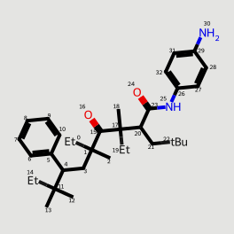 CCC(C)(CC(c1ccccc1)C(C)(C)CC)C(=O)C(C)(CC)C(CC(C)(C)C)C(=O)Nc1ccc(N)cc1